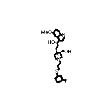 COc1ccc2nccc([C@@H](O)CC[C@@H]3CCN(CCCSc4cccc(F)c4)C[C@@H]3CO)c2c1